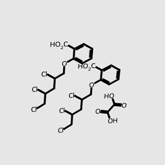 O=C(O)C(=O)O.O=C(O)c1ccccc1OCC(Cl)CC(Cl)CCl.O=C(O)c1ccccc1OCC(Cl)CC(Cl)CCl